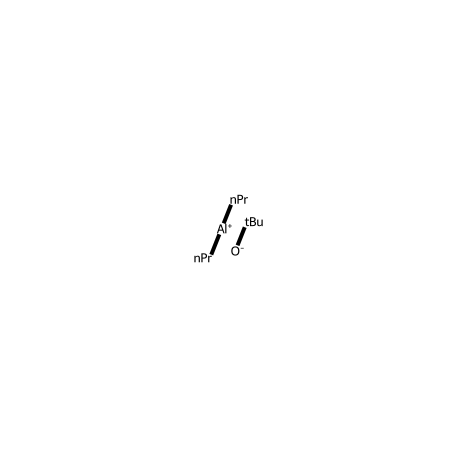 CC(C)(C)[O-].CC[CH2][Al+][CH2]CC